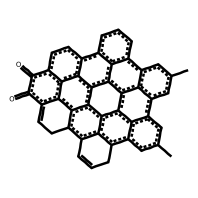 Cc1cc2c3c4c(c5c6c7c(c(=O)c(=O)c8ccc9c%10cccc%11c%12cc(C)cc%13c(c1)c2c1c4c6c(c9c87)c(c%11%10)c1c%13%12)=CC5)C=CC3